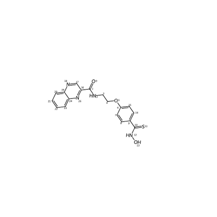 O=C(NCCOc1ccc(C(=S)NO)cc1)c1cnc2ccccc2n1